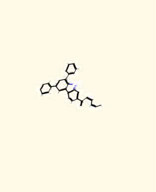 C=C(/C=C\C=C/C)c1ccc2c(c1)[nH]c1c(-c3ccccc3)cc(-c3ccccc3)cc12